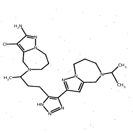 CC(C)N1CCCn2nc(-c3nn[nH]c3CCC(C)N3CCCn4nc(N)c(Cl)c4C3)cc2C1